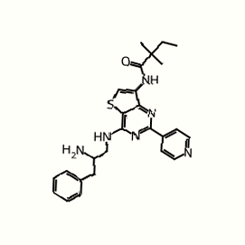 CCC(C)(C)C(=O)Nc1csc2c(NCC(N)Cc3ccccc3)nc(-c3ccncc3)nc12